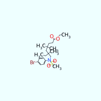 CCOC(=O)CCC(C)(C)CC(C)(CC)CN(c1ccc(Br)cc1)S(C)(=O)=O